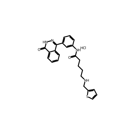 Cl.O=C(CCCCNCc1cccs1)Nc1cccc(-c2n[nH]c(=O)c3ccccc23)c1